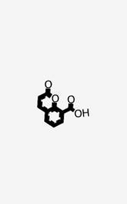 O=C(O)c1cccc2ccc(=O)oc12